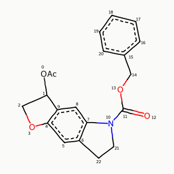 CC(=O)OC1COc2cc3c(cc21)N(C(=O)OCc1ccccc1)CC3